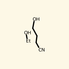 CCO.N#CCCCO